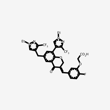 CCn1cc(Cc2cc3c(c(-c4cn(CC)nc4C(F)(F)F)c2)OC/C(=C\c2ccc(F)c(OCC(=O)O)c2)C3=O)c(C(F)(F)F)n1